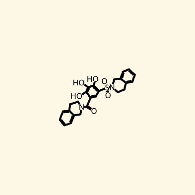 O=C(c1cc(S(=O)(=O)N2CCc3ccccc3C2)c(O)c(O)c1O)N1CCc2ccccc2C1